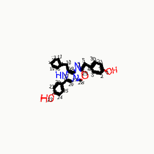 Oc1ccc(CC2=NC3=C(Cc4ccccc4)NC(c4ccc(O)cc4)=CN3CO2)cc1